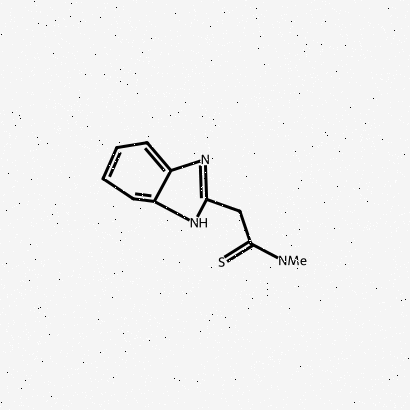 CNC(=S)Cc1nc2ccccc2[nH]1